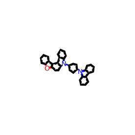 c1ccc2c(c1)oc1ccc3c(c4ccccc4n3-c3ccc(-n4c5ccccc5c5ccccc54)cc3)c12